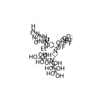 CCn1c(CNC(=O)c2nc3cc[nH]c3nc2N)[n+](CC)c2cc(C(=O)N3CCC(CN(C[C@H](O)[C@@H](O)[C@H](O)[C@H](O)CO)C[C@H](O)[C@@H](O)[C@H](O)[C@H](O)CO)CC3)ccc21.O=C(O)C(F)(F)F.O=C([O-])C(F)(F)F